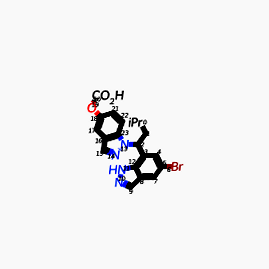 CC(C)CC(c1cc(Br)cc2cn[nH]c12)n1ncc2cc(OC(=O)O)ccc21